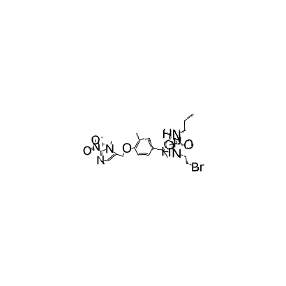 CCCNP(=O)(NCCBr)OC(C)c1ccc(OCc2cnc([N+](=O)[O-])n2C)c(C)c1